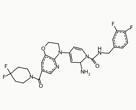 NC1C=C(N2CCOc3cc(C(=O)N4CCC(F)(F)CC4)cnc32)C=CN1C(=O)NCc1ccc(F)c(F)c1